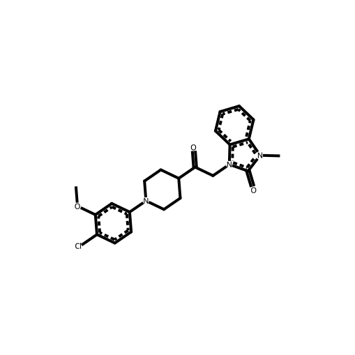 COc1cc(N2CCC(C(=O)Cn3c(=O)n(C)c4ccccc43)CC2)ccc1Cl